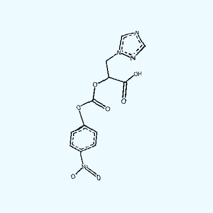 O=C(Oc1ccc([N+](=O)[O-])cc1)OC(Cn1cncn1)C(=O)O